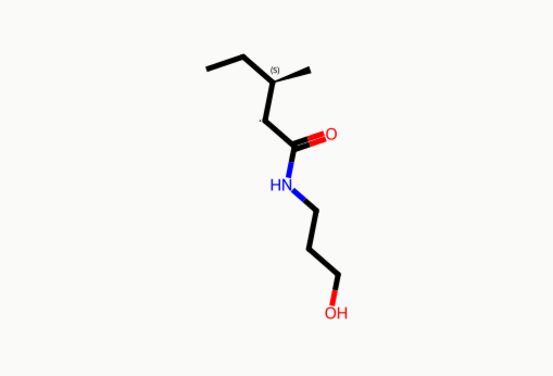 CC[C@@H](C)[CH]C(=O)NCCCO